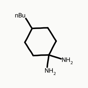 CCCCC1CCC(N)(N)CC1